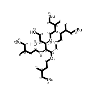 CC(CCOC[C@H](OCCC(C)CC(C)(C)C)[C@@H](OCCC(C)CC(C)(C)C)[C@H](OCCC(C)CC(C)(C)C)[C@H](O)CO)CC(C)(C)C